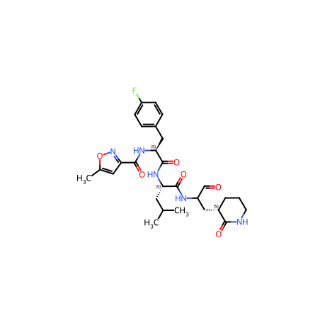 Cc1cc(C(=O)N[C@@H](Cc2ccc(F)cc2)C(=O)N[C@@H](CC(C)C)C(=O)NC(C=O)C[C@@H]2CCCNC2=O)no1